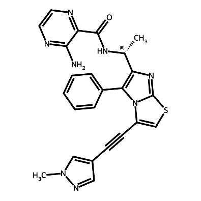 C[C@@H](NC(=O)c1nccnc1N)c1nc2scc(C#Cc3cnn(C)c3)n2c1-c1ccccc1